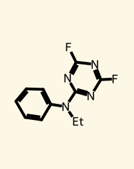 CCN(c1ccccc1)c1nc(F)nc(F)n1